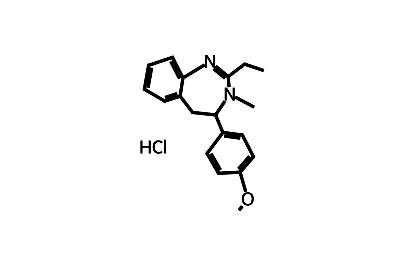 CCC1=Nc2ccccc2CC(c2ccc(OC)cc2)N1C.Cl